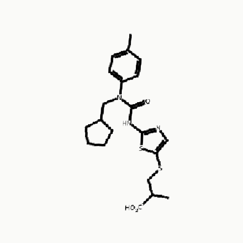 Cc1ccc(N(CC2CCCC2)C(=O)Nc2ncc(SCC(C)C(=O)O)s2)cc1